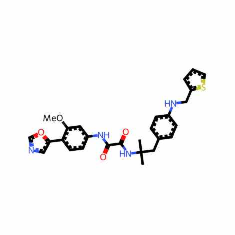 COc1cc(NC(=O)C(=O)NC(C)(C)Cc2ccc(NCc3cccs3)cc2)ccc1-c1cnco1